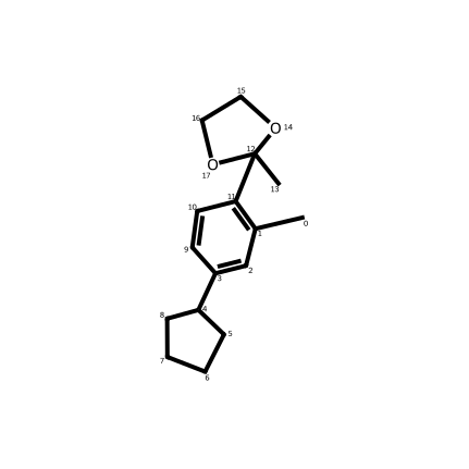 Cc1cc(C2CCCC2)ccc1C1(C)OCCO1